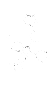 CC(C)(Cn1c(-c2ccccc2)c(C(=O)CCc2ccccc2)c2cc(C(F)(F)F)ccc21)C(N)=O